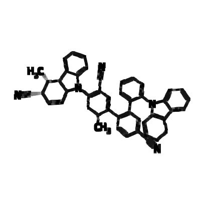 CC1CC(N2c3ccccc3C3C2C=C[C@H](C#N)[C@@H]3C)=C(C#N)C=C1c1ccc(C#N)cc1-c1ccccc1-n1c2c(c3ccccc31)CCC=C2